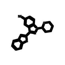 N#Cc1ccc2c(c1)c(-c1cc3ccccc3s1)nn2C1CCCCO1